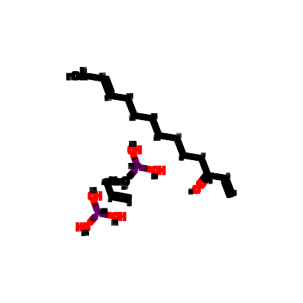 C=CC.C=CC(=O)CCCCCCCC=CCCCCCCCC.COP(O)O.OP(O)O